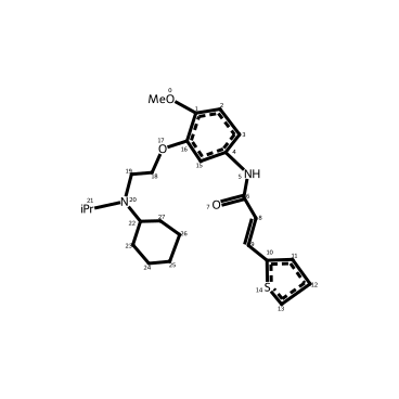 COc1ccc(NC(=O)/C=C/c2cccs2)cc1OCCN(C(C)C)C1CCCCC1